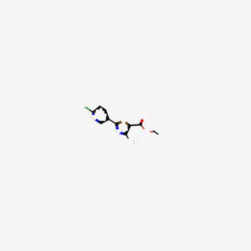 CCOC(=O)c1sc(-c2ccc(Cl)nc2)nc1C